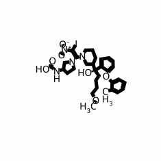 COCCCC[C@@](O)(c1ccccc1Oc1ccccc1C)C1CCCN(C(=C(I)[N+](=O)[O-])N2CCC(NC(=O)O)C2)C1